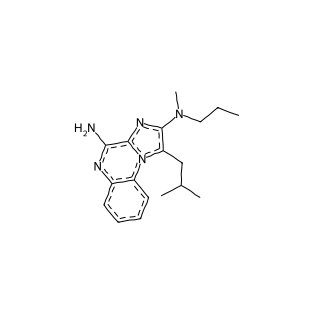 CCCN(C)c1nc2c(N)nc3ccccc3n2c1CC(C)C